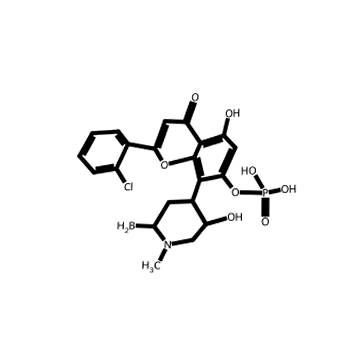 BC1CC(c2c(OP(=O)(O)O)cc(O)c3c(=O)cc(-c4ccccc4Cl)oc23)C(O)CN1C